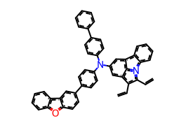 C=Cc1c(C=C)n2c3ccccc3c3cc(N(c4ccc(-c5ccccc5)cc4)c4ccc(-c5ccc6oc7ccccc7c6c5)cc4)cc1c32